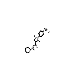 Cc1cc(C(=O)CN(C)C2CCCCC2)c(C)n1-c1ccc(N)cc1